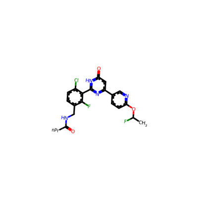 CCCC(=O)NCc1ccc(Cl)c(-c2nc(-c3ccc(OC(C)F)nc3)cc(=O)[nH]2)c1F